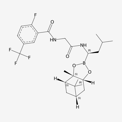 CC(C)C[C@H](NC(=O)CNC(=O)c1cc(C(F)(F)F)ccc1F)B1O[C@@H]2C[C@@H]3C[C@@H](C3(C)C)[C@]2(C)O1